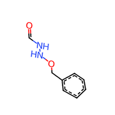 O=CNNOCc1ccccc1